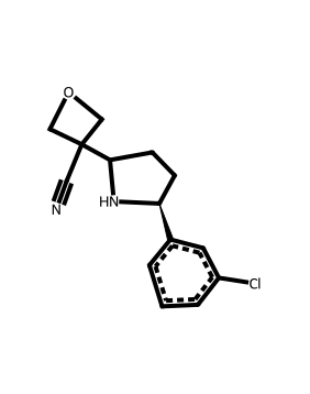 N#CC1(C2CC[C@@H](c3cccc(Cl)c3)N2)COC1